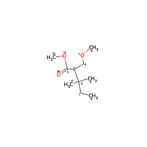 CCC(C)(C)C(COC)C(=O)OC